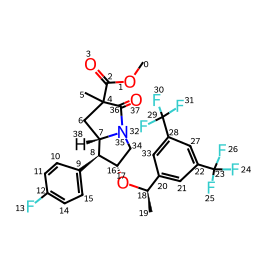 COC(=O)C1(C)C[C@H]2[C@H](c3ccc(F)cc3)[C@@H](O[C@H](C)c3cc(C(F)(F)F)cc(C(F)(F)F)c3)CN2C1=O